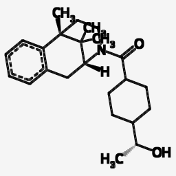 C[C@@H](O)C1CCC(C(=O)N2CC[C@@]3(C)c4ccccc4C[C@@H]2C3(C)C)CC1